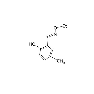 CCON=Cc1cc(C)ccc1O